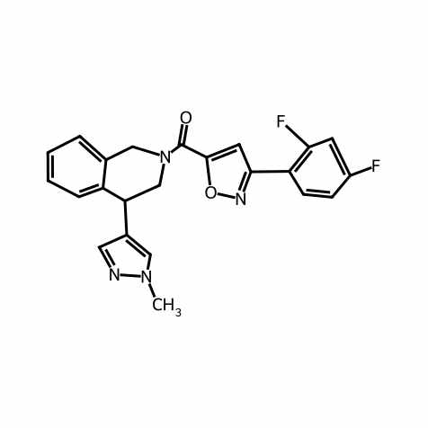 Cn1cc(C2CN(C(=O)c3cc(-c4ccc(F)cc4F)no3)Cc3ccccc32)cn1